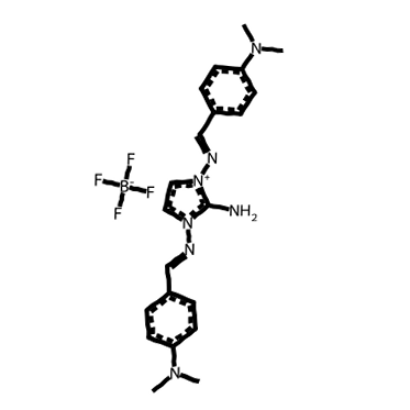 CN(C)c1ccc(/C=N/n2cc[n+](/N=C/c3ccc(N(C)C)cc3)c2N)cc1.F[B-](F)(F)F